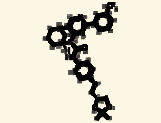 CC1(C)OC[C@H](COc2ccc(NC(=O)N3c4nc(-c5cccc(C(F)(F)F)c5)ncc4N4CCC[C@H]3C4)nc2)O1